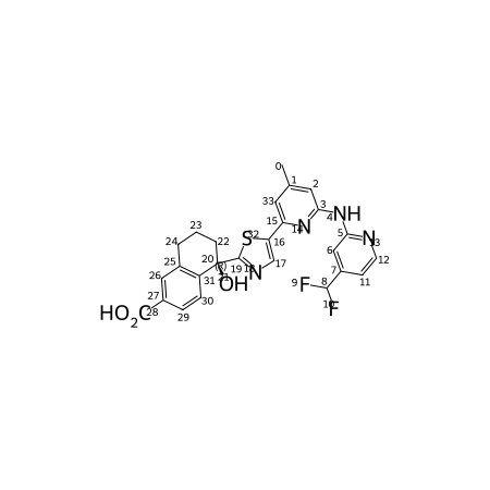 Cc1cc(Nc2cc(C(F)F)ccn2)nc(-c2cnc([C@@]3(O)CCCc4cc(C(=O)O)ccc43)s2)c1